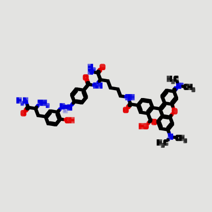 CN(C)c1ccc2c(-c3ccc(C(=O)NCCCCC(NC(=O)c4ccc(/N=N/c5cc(CC(N)C(N)=O)ccc5O)cc4)C(N)=O)cc3C(=O)O)c3ccc(=[N+](C)C)cc-3oc2c1